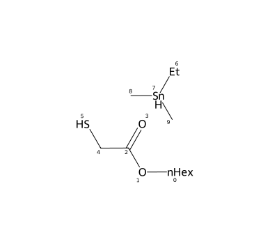 CCCCCCOC(=O)CS.C[CH2][SnH]([CH3])[CH3]